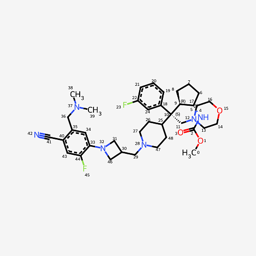 COC(=O)N[C@H]1CCC[C@@H]1[C@](CN1CCOCC1)(c1cccc(F)c1)C1CCN(CC2CN(c3cc(CN(C)C)c(C#N)cc3F)C2)CC1